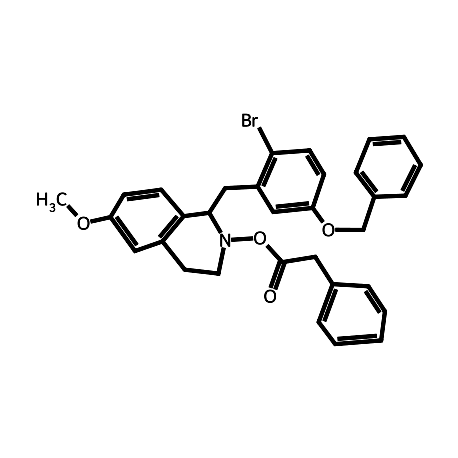 COc1ccc2c(c1)CCN(OC(=O)Cc1ccccc1)C2Cc1cc(OCc2ccccc2)ccc1Br